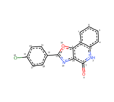 O=c1[nH]c2ccccc2c2oc(-c3ccc(Cl)cc3)nc12